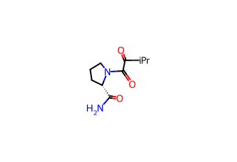 CC(C)C(=O)C(=O)N1CCC[C@H]1C(N)=O